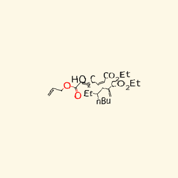 C=C(CC(CC)CCCC)C(=O)OCC.C=CCOC(=O)C=C.CCOC(=O)/C=C\C(=O)O